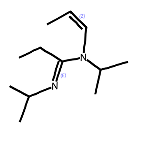 C/C=C\N(/C(CC)=N/C(C)C)C(C)C